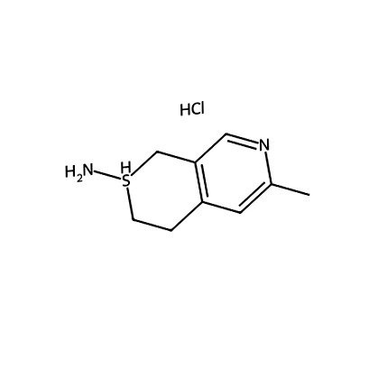 Cc1cc2c(cn1)C[SH](N)CC2.Cl